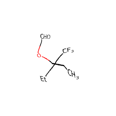 CCC(C)(OC=O)C(F)(F)F